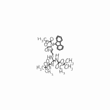 COC(=O)N(C1c2ccccc2-c2ccccc21)[C@@H](CCCN/C(=N\C(=O)OC(C)(C)C)NC(=O)OC(C)(C)C)C(=O)O